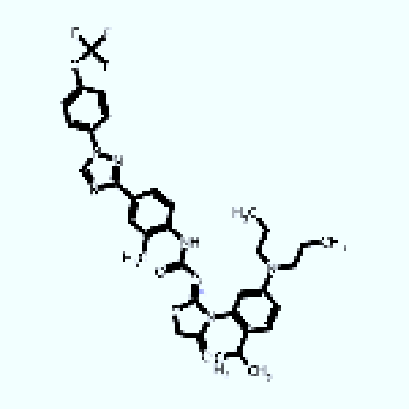 CCCN(CCC)c1ccc(C(C)C)c(N2C(=O)CS/C2=N\C(=O)Nc2ccc(-c3ncn(-c4ccc(OC(F)(F)F)cc4)n3)cc2C)c1